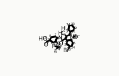 Cc1c(C(=O)Nc2ccc(C(=O)O)cc2SC(F)(F)F)c2cc(Br)ccc2[n+]([O-])c1-c1ccccc1